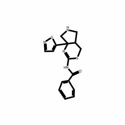 O=C(NC1=NC2(c3ccns3)CNCC2CS1)c1ccccc1